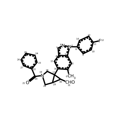 Cc1cc2c(cnn2-c2ccc(F)cc2)cc1C12CN(C(=O)c3ccccc3)CC1C2C=O